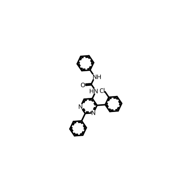 O=C(Nc1ccccc1)Nc1cnc(-c2ccccc2)nc1-c1ccccc1Cl